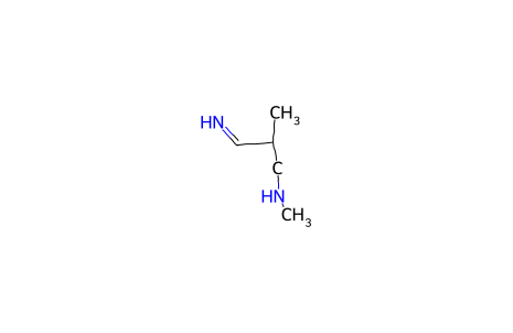 CNCC(C)C=N